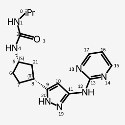 CC(C)NC(=O)N[C@H]1CC[C@@H](c2cc(Nc3ncccn3)n[nH]2)C1